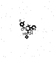 Cc1cc(C(=O)N2C=C(C(=O)NC3CCC3)c3[nH]c4ncccc4c3C(C)(C)C2)ccc1F